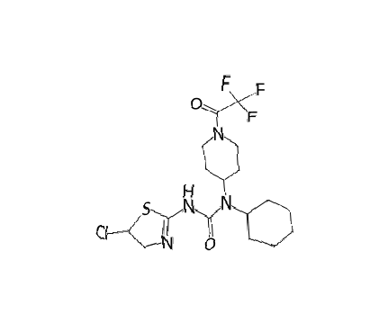 O=C(NC1=NCC(Cl)S1)N(C1CCCCC1)C1CCN(C(=O)C(F)(F)F)CC1